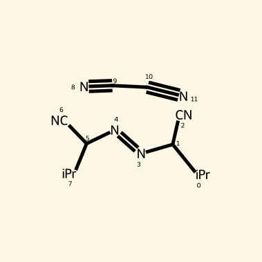 CC(C)C(C#N)N=NC(C#N)C(C)C.N#CC#N